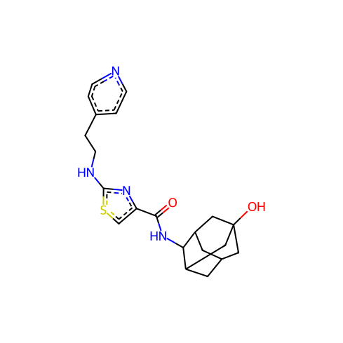 O=C(NC1C2CC3CC1CC(O)(C3)C2)c1csc(NCCc2ccncc2)n1